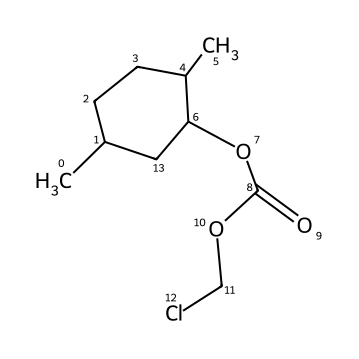 CC1CCC(C)C(OC(=O)OCCl)C1